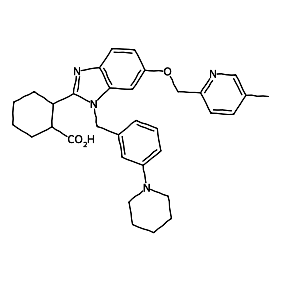 Cc1ccc(COc2ccc3nc(C4CCCCC4C(=O)O)n(Cc4cccc(N5CCCCC5)c4)c3c2)nc1